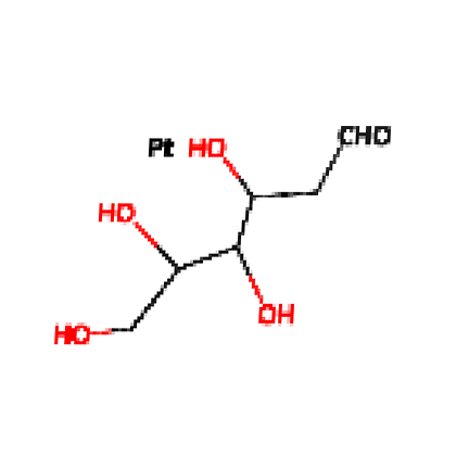 O=CCC(O)C(O)C(O)CO.[Pt]